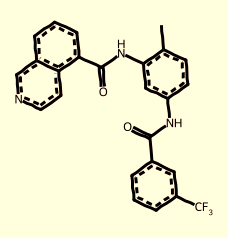 Cc1ccc(NC(=O)c2cccc(C(F)(F)F)c2)cc1NC(=O)c1cccc2cnccc12